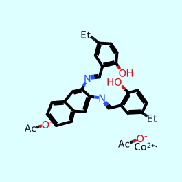 CC(=O)[O-].CC(=O)[O-].CCc1ccc(O)c(C=Nc2cc3ccccc3cc2N=Cc2cc(CC)ccc2O)c1.[Co+2]